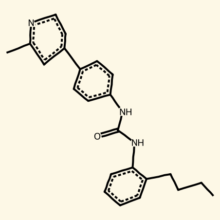 CCCCc1ccccc1NC(=O)Nc1ccc(-c2ccnc(C)c2)cc1